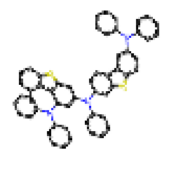 Cc1cccc2sc3cc(N(c4ccccc4)c4ccc5c(c4)sc4ccc(N(c6ccccc6)c6ccccc6)cc45)cc(N(c4ccccc4)c4ccccc4)c3c12